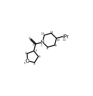 C=C(C1CCOC1)N1CCC(C(C)C)CC1